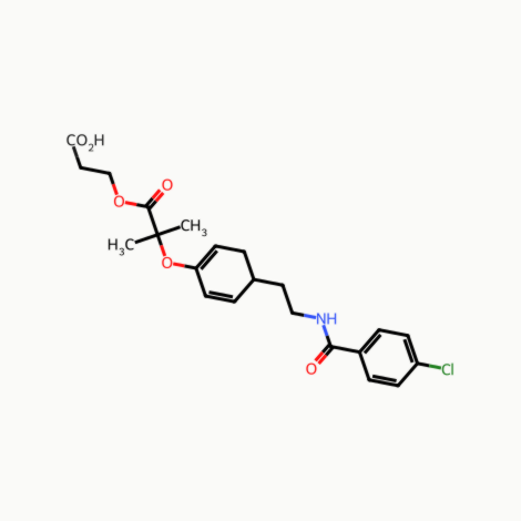 CC(C)(OC1=CCC(CCNC(=O)c2ccc(Cl)cc2)C=C1)C(=O)OCCC(=O)O